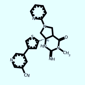 CN1C(=N)N[C@@]2(c3cc(-c4cncc(C#N)c4)cs3)CN(c3ccccn3)CC2C1=O